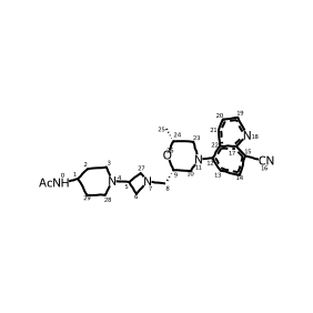 CC(=O)NC1CCN(C2CN(C[C@H]3CN(c4ccc(C#N)c5ncccc45)C[C@@H](C)O3)C2)CC1